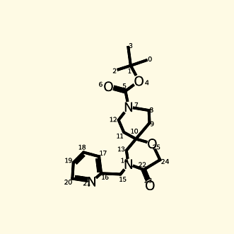 CC(C)(C)OC(=O)N1CCC2(CC1)CN(Cc1ccccn1)C(=O)CO2